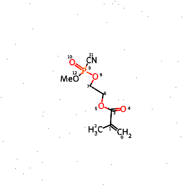 C=C(C)C(=O)OCCOP(=O)(C#N)OC